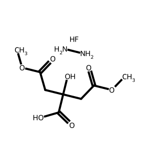 COC(=O)CC(O)(CC(=O)OC)C(=O)O.F.NN